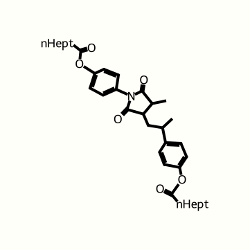 CCCCCCCC(=O)Oc1ccc(C(C)CC2C(=O)N(c3ccc(OC(=O)CCCCCCC)cc3)C(=O)C2C)cc1